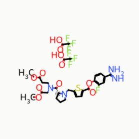 COC(=O)CCN(CC(=O)OC)C(=O)[C@H]1CCCN1Cc1ccc(C(=O)Oc2ccc(C(=N)N)cc2F)s1.O=C(O)C(F)(F)F.O=C(O)C(F)(F)F